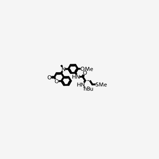 CCCCN[C@@H](CCSC)C(=O)Nc1cc(N(C)c2cc(=O)oc3ccccc23)ccc1OC